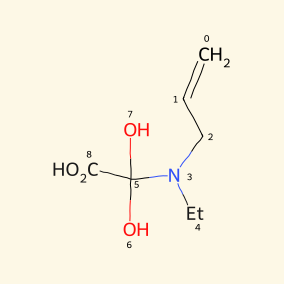 C=CCN(CC)C(O)(O)C(=O)O